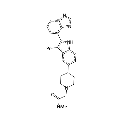 CNC(=O)CN1CCC(c2ccc3[nH]c(-c4cccn5ncnc45)c(C(C)C)c3c2)CC1